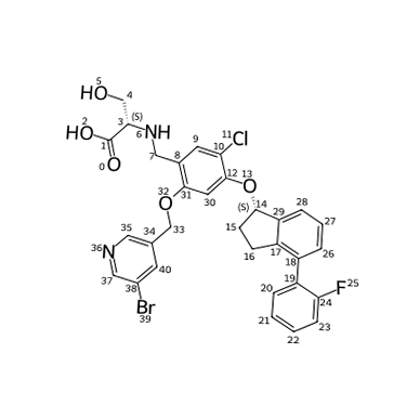 O=C(O)[C@H](CO)NCc1cc(Cl)c(O[C@H]2CCc3c(-c4ccccc4F)cccc32)cc1OCc1cncc(Br)c1